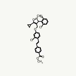 COC(=O)c1ccc(/C=C/c2ccc(OCC3=C(C4CC4)ON(C)C3c3c(Cl)cccc3Cl)cc2Cl)cc1